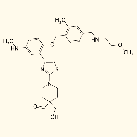 CNc1ccc(OCc2ccc(CNCCOC)cc2C)c(-c2csc(N3CCC(C=O)(CO)CC3)n2)c1